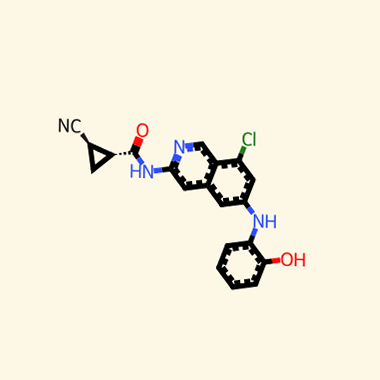 N#C[C@@H]1C[C@H]1C(=O)Nc1cc2cc(Nc3ccccc3O)cc(Cl)c2cn1